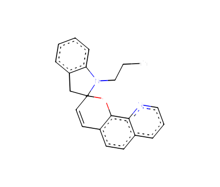 CC(C)CCN1c2ccccc2CC12C=Cc1ccc3cccnc3c1O2